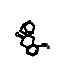 Nc1cccc2c1CC1(CC3=CCC1C3)C(=O)C2